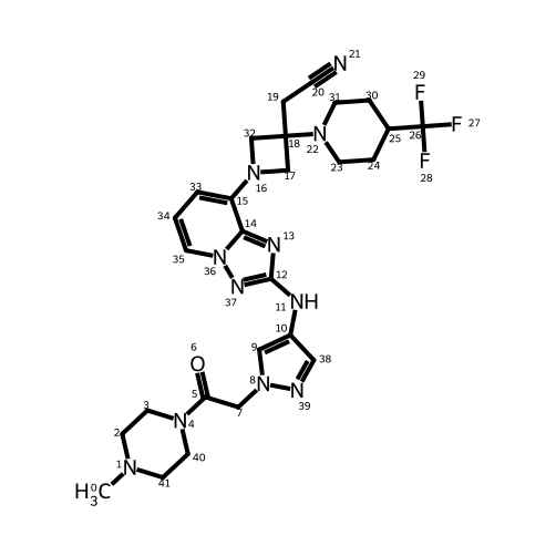 CN1CCN(C(=O)Cn2cc(Nc3nc4c(N5CC(CC#N)(N6CCC(C(F)(F)F)CC6)C5)cccn4n3)cn2)CC1